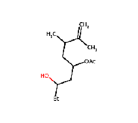 C=C(C)C(C)CC(CC(O)CC)OC(C)=O